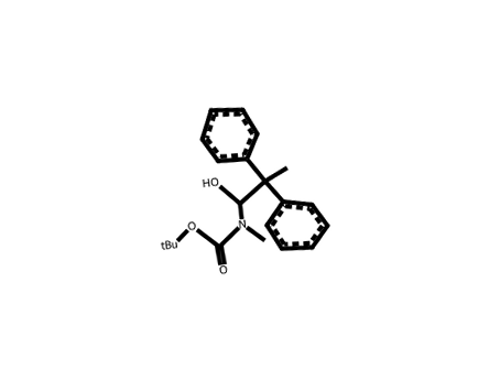 CN(C(=O)OC(C)(C)C)C(O)C(C)(c1ccccc1)c1ccccc1